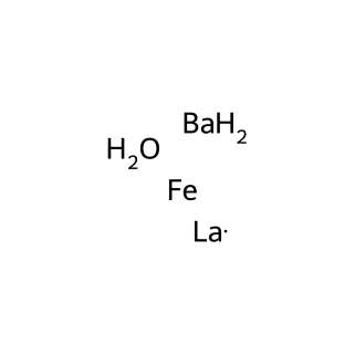 O.[BaH2].[Fe].[La]